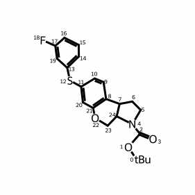 CC(C)(C)OC(=O)N1CCC2c3ccc(Sc4cccc(F)c4)cc3OCC21